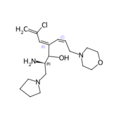 C=C(Cl)/C=C(\C=C/CN1CCOCC1)C(O)[C@H](N)CN1CCCC1